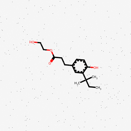 CCC(C)(C)c1cc(CCC(=O)OCCO)ccc1O